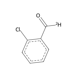 [2H]C(=O)c1ccccc1Cl